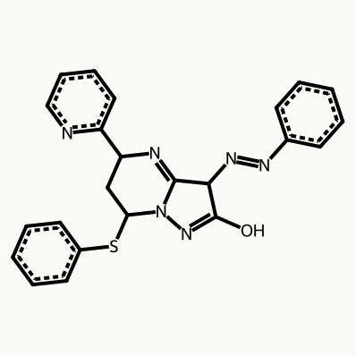 OC1=NN2C(=NC(c3ccccn3)CC2Sc2ccccc2)C1N=Nc1ccccc1